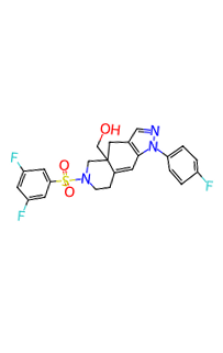 O=S(=O)(c1cc(F)cc(F)c1)N1CCC2=Cc3c(cnn3-c3ccc(F)cc3)CC2(CO)C1